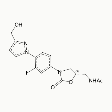 CC(=O)NC[C@H]1CN(c2ccc(-n3ccc(CO)n3)c(F)c2)C(=O)O1